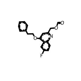 O=COCc1cc(OCCc2ccccc2)c2cc(F)ccc2n1